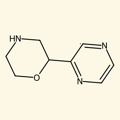 [c]1nccnc1C1CNCCO1